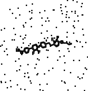 C=CCCOc1ccc(CCc2ccc(-c3ccc(-c4ccc(OCC)cc4)c(F)c3F)cc2)c(F)c1F